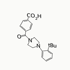 CC(C)(C)c1ccccc1N1CCN(C(=O)c2ccc(C(=O)O)cc2)CC1